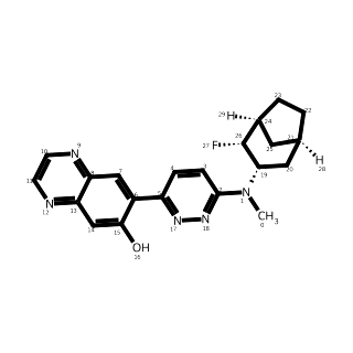 CN(c1ccc(-c2cc3nccnc3cc2O)nn1)[C@H]1C[C@@H]2CC[C@@H](C2)[C@H]1F